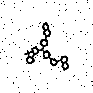 CC1(C)c2ccccc2-c2cc(N(c3ccc(-c4cccc(-c5cccc6ccccc56)c4)cc3)c3ccc(-c4ccc5ccccc5c4)cc3)ccc21